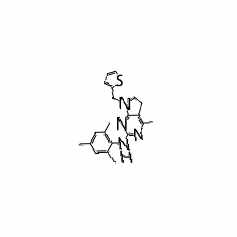 Cc1cc(C)c(Nc2nc(C)c3c(n2)N(Cc2cccs2)CC3)c(C)c1